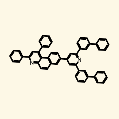 c1ccc(-c2cccc(-c3cc(-c4ccc5c(ccc6nc(-c7ccccc7)cc(-c7ccccc7)c65)c4)cc(-c4cccc(-c5ccccc5)c4)n3)c2)cc1